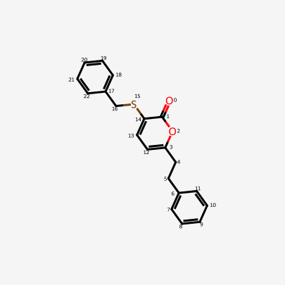 O=c1oc(CCc2ccccc2)ccc1SCc1ccccc1